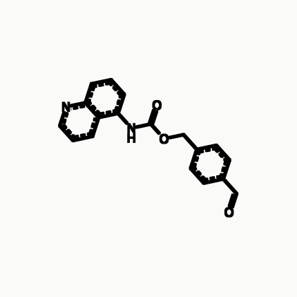 O=Cc1ccc(COC(=O)Nc2cccc3ncccc23)cc1